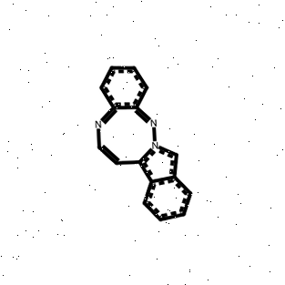 C1=Cc2c3ccccc3cn2N=c2ccccc2=N1